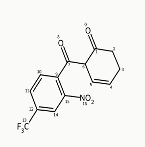 O=C1CCC=CC1C(=O)c1ccc(C(F)(F)F)cc1[N+](=O)[O-]